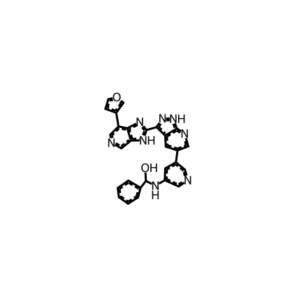 OC(Nc1cncc(-c2cnc3[nH]nc(-c4nc5c(-c6ccoc6)cncc5[nH]4)c3c2)c1)c1ccccc1